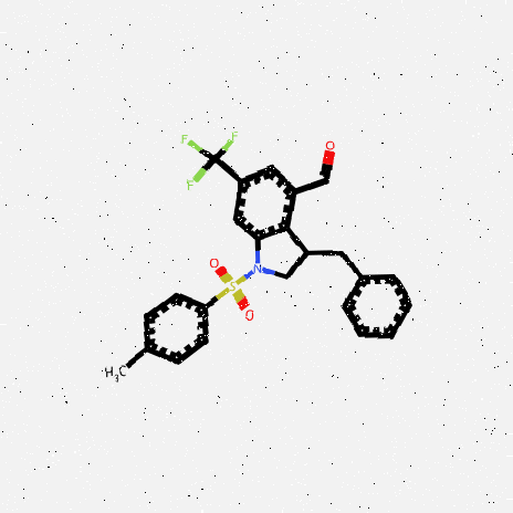 Cc1ccc(S(=O)(=O)N2CC(Cc3ccccc3)c3c(C=O)cc(C(F)(F)F)cc32)cc1